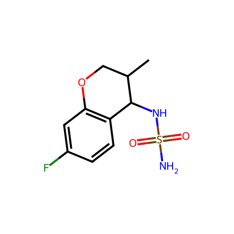 CC1COc2cc(F)ccc2C1NS(N)(=O)=O